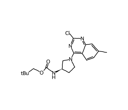 Cc1ccc2c(N3CC[C@@H](NC(=O)OCC(C)(C)C)C3)nc(Cl)nc2c1